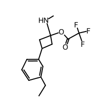 CCc1cccc(C2CC(NC)(OC(=O)C(F)(F)F)C2)c1